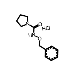 Cl.O=C(NOCc1ccccc1)N1CCCC1